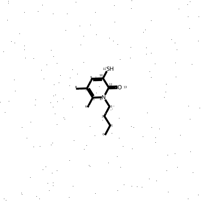 CCCCn1c(C)c(C)cc(S)c1=O